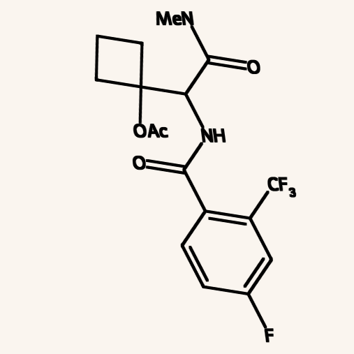 CNC(=O)C(NC(=O)c1ccc(F)cc1C(F)(F)F)C1(OC(C)=O)CCC1